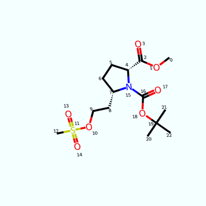 COC(=O)[C@H]1CC[C@@H](CCOS(C)(=O)=O)N1C(=O)OC(C)(C)C